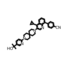 CC(C)(O)c1ccc(N2CCC3(CC2)CCN(c2cnc4c(-c5ccc(C#N)cc5)cccc4c2C2CC2)CC3)nc1